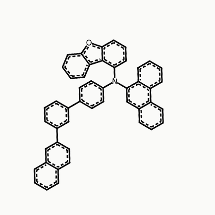 c1cc(-c2ccc(N(c3cc4ccccc4c4ccccc34)c3cccc4oc5ccccc5c34)cc2)cc(-c2ccc3ccccc3c2)c1